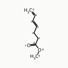 C=CC=CCCC(=O)OC